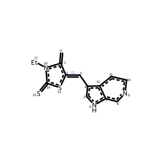 C=c1/c(=C/c2c[nH]c3cnccc23)sc(=S)n1CC